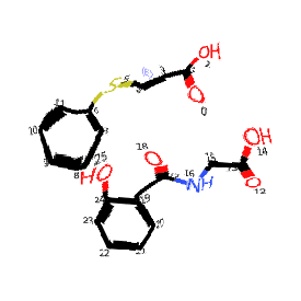 O=C(O)/C=C/Sc1ccccc1.O=C(O)CNC(=O)c1ccccc1O